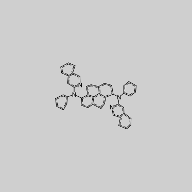 c1ccc(N(c2cc3ccccc3cn2)c2ccc3ccc4c(N(c5ccccc5)c5cc6ccccc6cn5)ccc5ccc2c3c54)cc1